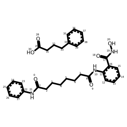 O=C(CCCCCCC(=O)Nc1ccccc1C(=O)NO)Nc1ccccc1.O=C(O)CCCc1ccccc1